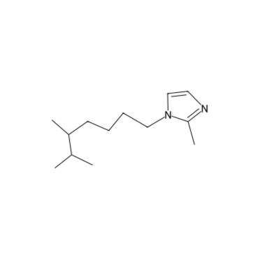 Cc1nccn1CCCCC(C)C(C)C